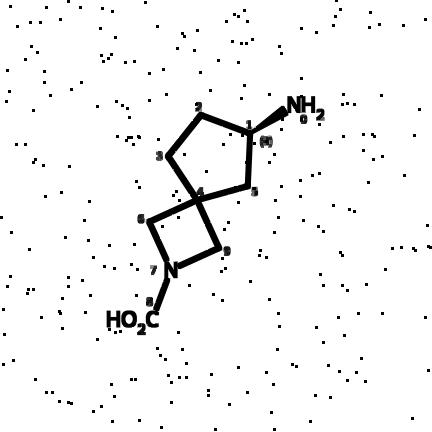 N[C@@H]1CCC2(C1)CN(C(=O)O)C2